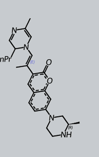 CCCC1C=NC(C)=CN1/C=C(\C)c1cc2ccc(N3CCN[C@H](C)C3)cc2oc1=O